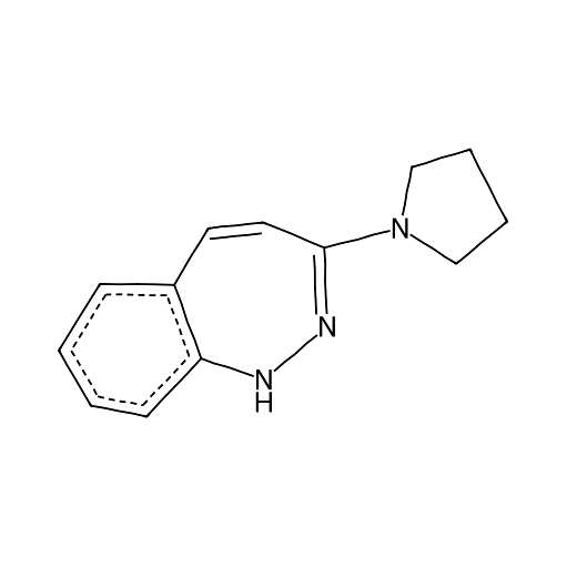 C1=Cc2ccccc2NN=C1N1CCCC1